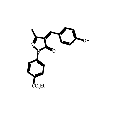 CCOC(=O)c1ccc(N2N=C(C)/C(=C/c3ccc(O)cc3)C2=O)cc1